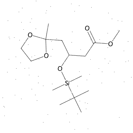 COC(=O)CC(CC1(C)OCCO1)O[Si](C)(C)C(C)(C)C